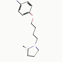 C[C@@H]1CCCN1CCCCOc1ccc(I)cc1